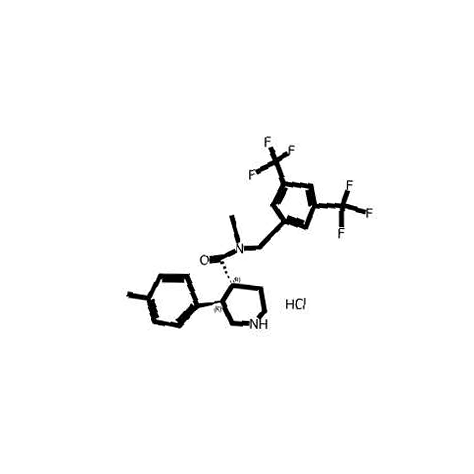 Cc1ccc([C@@H]2CNCC[C@H]2C(=O)N(C)Cc2cc(C(F)(F)F)cc(C(F)(F)F)c2)cc1.Cl